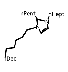 CCCCCCCCCCCCCCCN1C=CN(CCCCCCC)C1CCCCC